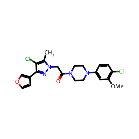 COc1cc(N2CCN(C(=O)Cn3nc(-c4ccoc4)c(Cl)c3C)CC2)ccc1Cl